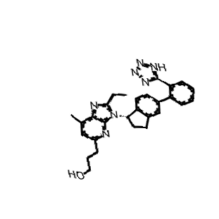 CCc1nc2c(C)cc(CCCO)nc2n1[C@H]1CCc2cc(-c3ccccc3-c3nnn[nH]3)ccc21